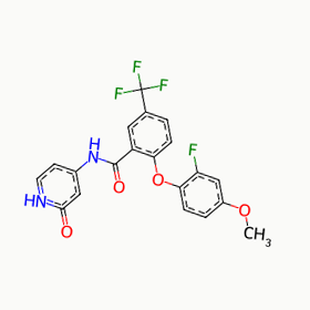 COc1ccc(Oc2ccc(C(F)(F)F)cc2C(=O)Nc2cc[nH]c(=O)c2)c(F)c1